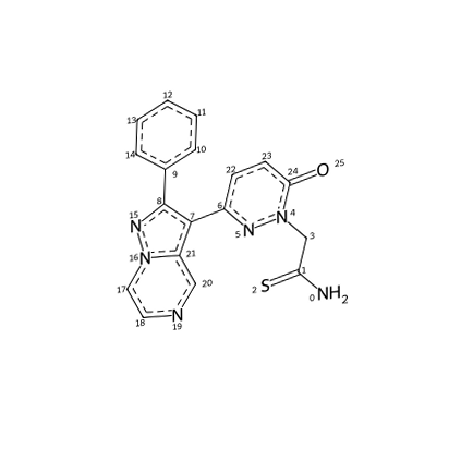 NC(=S)Cn1nc(-c2c(-c3ccccc3)nn3ccncc23)ccc1=O